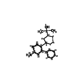 CC(C)(O)C1CCCN(c2nnc(N)nc2-c2ccccc2)C1